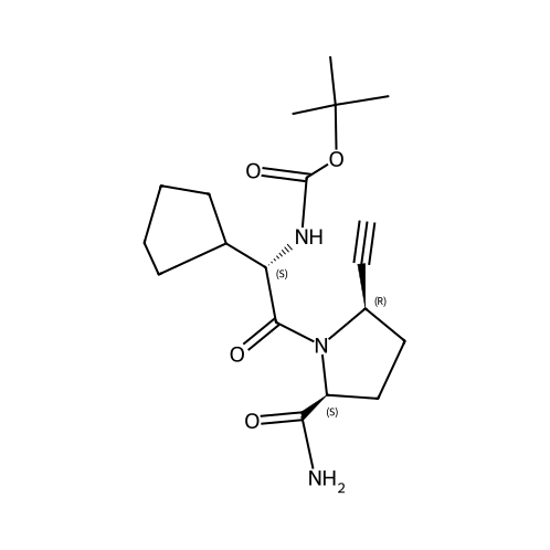 C#C[C@H]1CC[C@@H](C(N)=O)N1C(=O)[C@@H](NC(=O)OC(C)(C)C)C1CCCC1